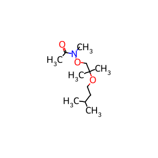 CC(=O)N(C)OCC(C)(C)OCCC(C)C